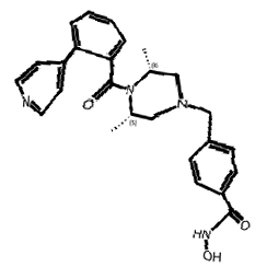 C[C@@H]1CN(Cc2ccc(C(=O)NO)cc2)C[C@H](C)N1C(=O)c1ccccc1-c1ccncc1